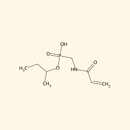 C=CC(=O)NCP(=O)(O)OC(C)CC